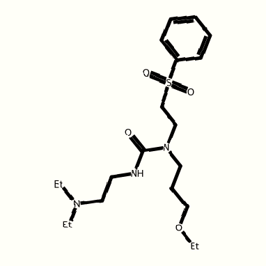 CCOCCCN(CCS(=O)(=O)c1ccccc1)C(=O)NCCN(CC)CC